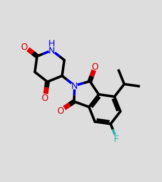 CC(C)c1cc(F)cc2c1C(=O)N(C1CNC(=O)CC1=O)C2=O